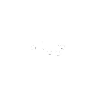 Cl.Fc1ccc2c(c1)C[C@@H](NCc1ccc(-c3cccc(-c4nc[nH]n4)c3)cc1)C2